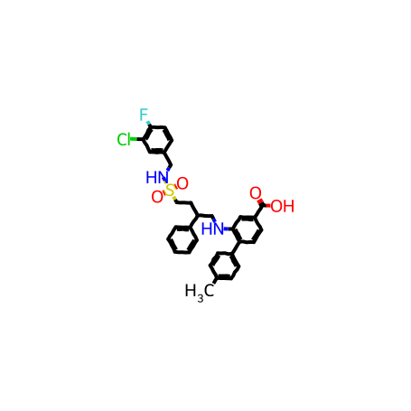 Cc1ccc(-c2ccc(C(=O)O)cc2NCC(CCS(=O)(=O)NCc2ccc(F)c(Cl)c2)c2ccccc2)cc1